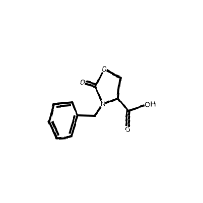 O=C(O)C1COC(=O)N1Cc1ccccc1